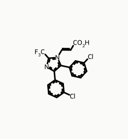 O=C(O)C=Cn1c(C(F)(F)F)nc(-c2cccc(Cl)c2)c1-c1cccc(Cl)c1